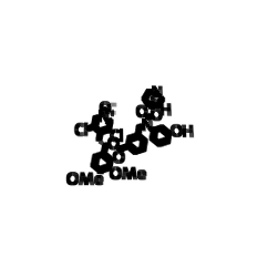 COc1ccc([C@H](Cc2c(Cl)c[n+]([O-])cc2Cl)OC(=O)c2cccc(CN(C(=O)O[C@H]3CN4CCC3CC4)c3cccc(O)c3)c2)cc1OC